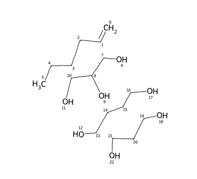 C=CCCCC.OCC(O)CO.OCCCCO.OCCCO